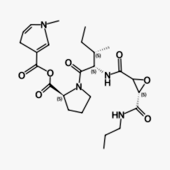 CCCNC(=O)[C@H]1OC1C(=O)N[C@H](C(=O)N1CCC[C@H]1C(=O)OC(=O)C1=CN(C)C=CC1)[C@@H](C)CC